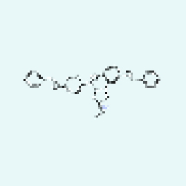 C/C=C1/CC2c3cc(OCc4ccccc4)ccc3OC(c3ccc(OCc4ccccc4)cc3)C2C1